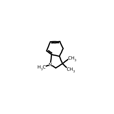 CN1CC(C)(C)C2CC=CC=C21